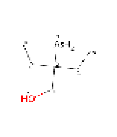 CCC([AsH2])(CC)CO